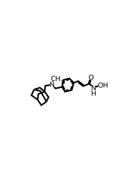 CN(Cc1ccc(C=CC(=O)NO)cc1)CC12CC3CC(CC(C3)C1)C2